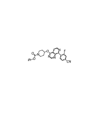 CC(C)OC(=O)N1CCC(Oc2ncnc3c(-c4ccc(C#N)cc4F)nccc23)CC1